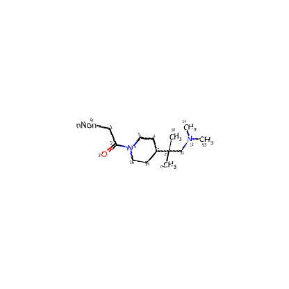 CCCCCCCCCCC(=O)N1CCC(C(C)(C)CN(C)C)CC1